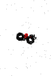 C[C@H]1/C=C(/COC(=O)OC/C2=C/[C@H](C)CCCCCCCCCCCC2)CCCCCCCCCCCC1